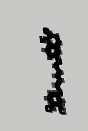 O=C1CCc2cc(OCCCCCSc3ccc(Cl)c(Cl)c3)ccc2N1